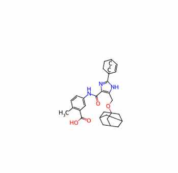 Cc1ccc(NC(=O)c2nc(C34C=CC(CC3)CC4)[nH]c2COC23CC4CC(CC(C4)C2)C3)cc1C(=O)O